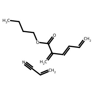 C=CC#N.C=CC=CC(=C)C(=O)OCCCC